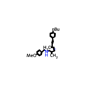 C=C(C#Cc1ccc(CCCC)cc1)/C=C\C(=C)CNCc1ccc(OC)cc1